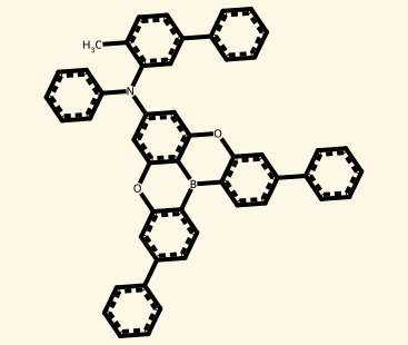 Cc1ccc(-c2ccccc2)cc1N(c1ccccc1)c1cc2c3c(c1)Oc1cc(-c4ccccc4)ccc1B3c1ccc(-c3ccccc3)cc1O2